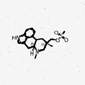 CN1C[C@@](C)(COS(C)(=O)=O)CC2c3cccc4[nH]cc(c34)C[C@H]21